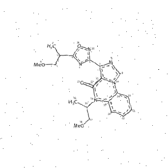 COCC(C)c1nc(-c2ncn3c2c(=O)n(C(C)COC)c2ccccc23)no1